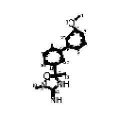 COc1cccc(-c2cccc(C3(C)NC(=N)N(C)O3)c2)c1